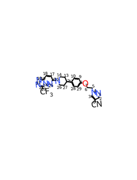 N#Cc1cnn(CCOc2ccc(C3CCN(c4ccc5nnc(C(F)(F)F)n5n4)CC3)cc2)c1